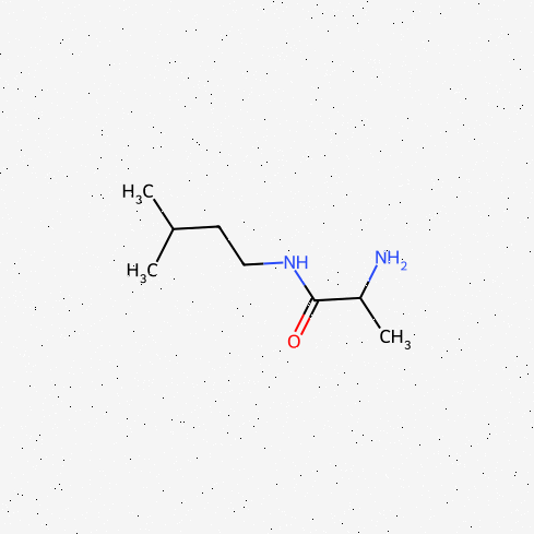 CC(C)CCNC(=O)C(C)N